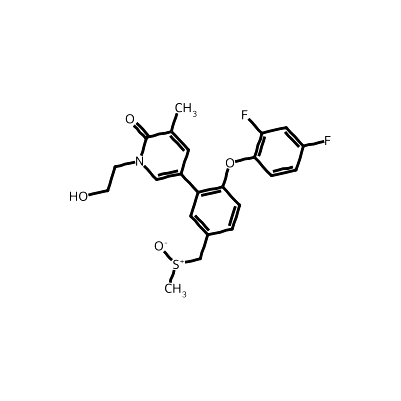 Cc1cc(-c2cc(C[S+](C)[O-])ccc2Oc2ccc(F)cc2F)cn(CCO)c1=O